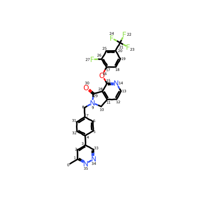 Cc1cc(-c2ccc(CN3Cc4ccnc(Oc5ccc(C(F)(F)F)cc5F)c4C3=O)cc2)cnn1